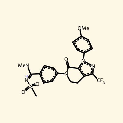 CN/C(=N/S(C)(=O)=O)c1ccc(N2CCc3c(C(F)(F)F)nn(-c4ccc(OC)cc4)c3C2=O)cc1